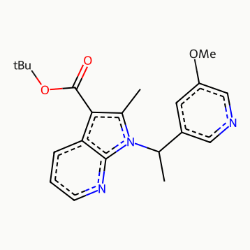 COc1cncc(C(C)n2c(C)c(C(=O)OC(C)(C)C)c3cccnc32)c1